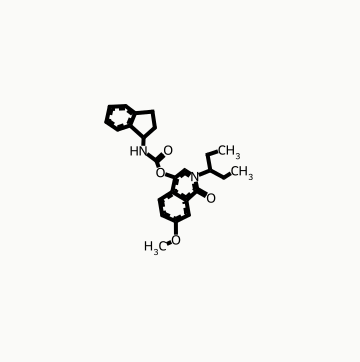 CCC(CC)n1cc(OC(=O)NC2CCc3ccccc32)c2ccc(OC)cc2c1=O